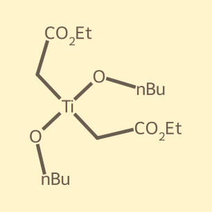 CCCC[O][Ti]([CH2]C(=O)OCC)([CH2]C(=O)OCC)[O]CCCC